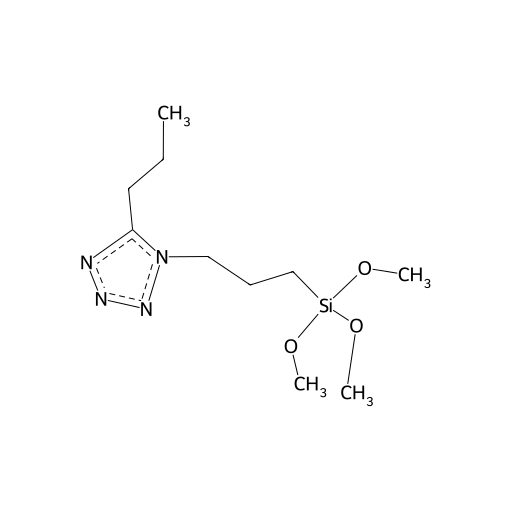 CCCc1nnnn1CCC[Si](OC)(OC)OC